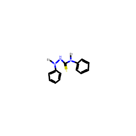 CCN(NC(=S)N(CC)c1ccccc1)c1ccccc1